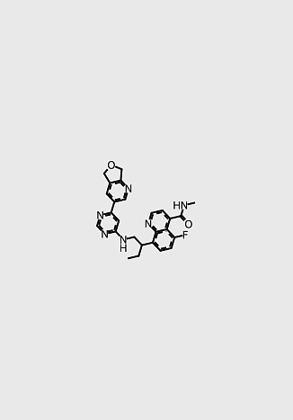 CCC(CNc1cc(-c2cnc3c(c2)COC3)ncn1)c1ccc(F)c2c(C(=O)NC)ccnc12